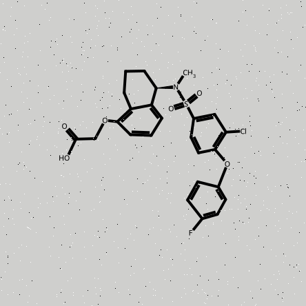 CN([C@@H]1CCCc2c(OCC(=O)O)cccc21)S(=O)(=O)c1ccc(Oc2ccc(F)cc2)c(Cl)c1